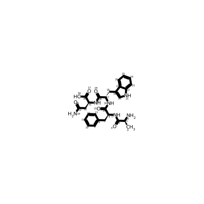 C[C@H](N)C(=O)N[C@@H](Cc1ccccc1)C(=O)N[C@@H](Cc1c[nH]c2ccccc12)C(=O)N[C@@H](CC(N)=O)C(=O)O